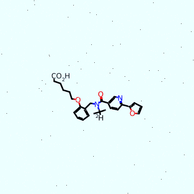 [2H]C(C)(C)N(Cc1ccccc1OCCCCCC(=O)O)C(=O)c1ccc(-c2ccco2)nc1